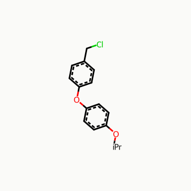 CC(C)Oc1ccc(Oc2ccc(CCl)cc2)cc1